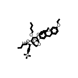 CCCCO[C@@H]1[C@@H](OCCCC)[C@@]2(c3ccc(Cl)c(Cc4ccc(OCC)cc4)c3)OC[C@](C(O)C#C[Si](C)(C)C)(O2)[C@H]1OCCCC